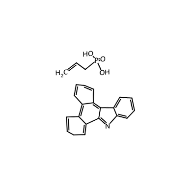 C1=Cc2c(c3c(c4ccccc24)-c2ccccc2N=3)=CC1.C=CCP(=O)(O)O